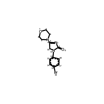 O=C1N=C(N2CCOCC2)CN1c1ccc(Br)cc1